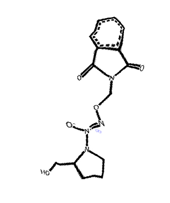 O=C1c2ccccc2C(=O)N1CO/N=[N+](\[O-])N1CCCC1CO